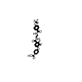 O=C(NCCNC(=O)c1ccc(O[C@H]2CC[C@@H](C(=O)O)CC2)c(F)c1F)c1ccc(OC(F)(F)F)cc1